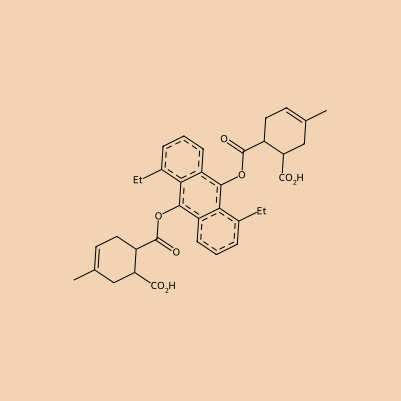 CCc1cccc2c(OC(=O)C3CC=C(C)CC3C(=O)O)c3c(CC)cccc3c(OC(=O)C3CC=C(C)CC3C(=O)O)c12